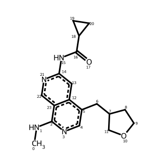 CNc1ncc(CC2CCOC2)c2cc(NC(=O)C3CC3)ncc12